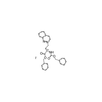 O=C(N[C@H](CC[n+]1ccc2ccccc2n1)C(=O)OCc1ccccc1)OCc1ccccc1.[I-]